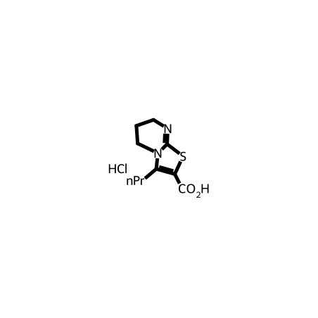 CCCC1=C(C(=O)O)SC2=NCCCN21.Cl